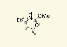 C=CCC(CC)NC(=O)OC